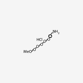 COCCOCCOCCOCCOCCOc1ccc(CCN)cc1.Cl